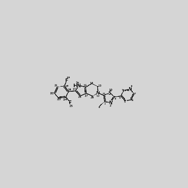 Cc1nc(-c2cccnc2)sc1N1CCc2[nH]c(-c3c(F)cccc3F)cc2C1